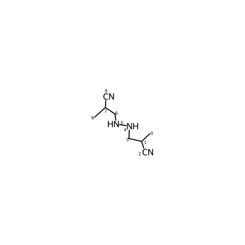 CC(C#N)CNNCC(C)C#N